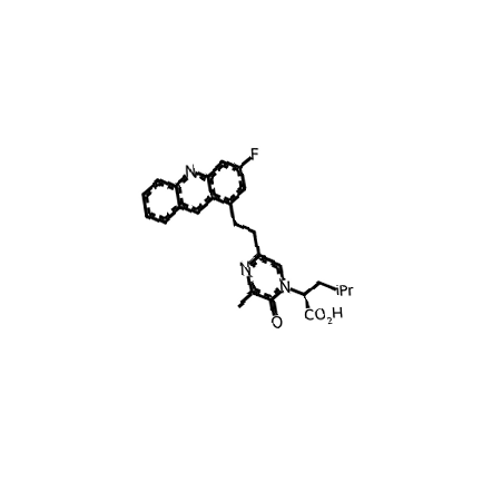 Cc1nc(CCc2cc(F)cc3nc4ccccc4cc23)cn([C@@H](CC(C)C)C(=O)O)c1=O